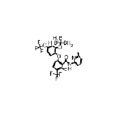 BC(B)(B)Oc1cc(OC(F)(F)F)ccc1Oc1ccc(C(F)(F)F)c(F)c1C(=O)Nc1cccc(C)n1